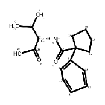 CC(C)[C@H](NC(=O)C1(c2ccccc2)CCCC1)C(=O)O